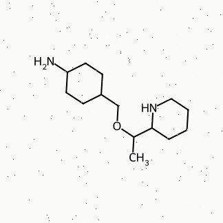 CC(OCC1CCC(N)CC1)C1CCCCN1